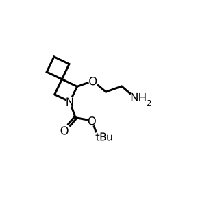 CC(C)(C)OC(=O)N1CC2(CCC2)C1OCCN